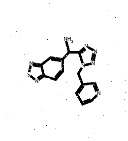 NC(c1ccc2nsnc2c1)c1nnnn1Cc1cccnc1